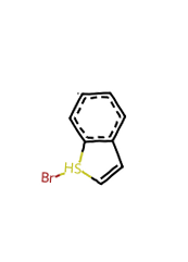 Br[SH]1C=Cc2cc[c]cc21